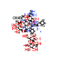 CN(C(=O)[C@@H](NC(=O)[C@@H](NC(=O)[C@H](Cc1ccc(OC2OC(CO)C(OC3OC(CO)C(O)C(O)C3O)C(O)C2O)cc1)NC(=O)[C@@H](N)Cc1ccccc1)C(O)C1CNC(=N)N1)C(O)C1CNC(=N)N1C1OC(CO)C(O)C(O)C1O)[C@H]([C]=O)CO